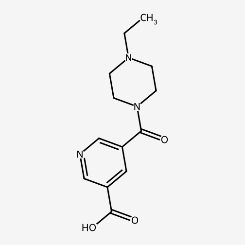 CCN1CCN(C(=O)c2cncc(C(=O)O)c2)CC1